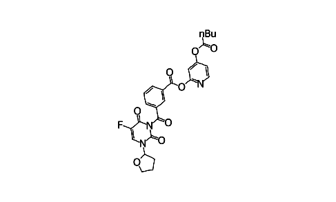 CCCCC(=O)Oc1ccnc(OC(=O)c2cccc(C(=O)n3c(=O)c(F)cn(C4CCCO4)c3=O)c2)c1